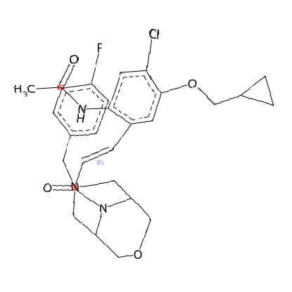 CC(=O)Nc1cc(Cl)c(OCC2CC2)cc1/C=C/C(=O)N1C2COCC1CN(Cc1ccc(F)cc1)C2